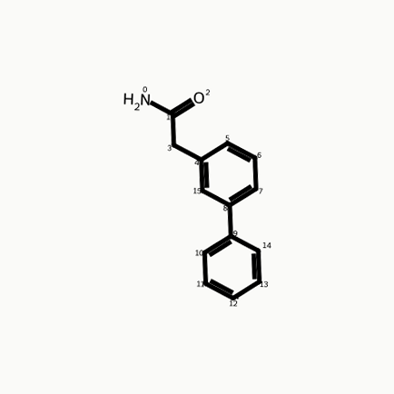 NC(=O)Cc1cccc(-c2cc[c]cc2)c1